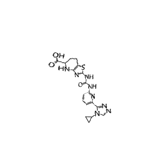 O=C(Nc1cccc(-c2nncn2C2CC2)n1)Nc1nc2c(s1)CCC(C(=O)O)N2